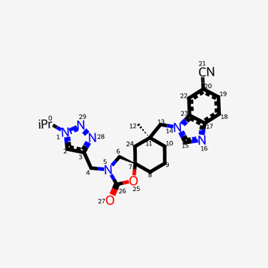 CC(C)n1cc(CN2C[C@@]3(CCC[C@](C)(Cn4cnc5ccc(C#N)cc54)C3)OC2=O)nn1